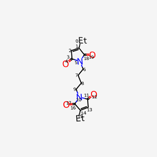 CCC1=CC(=O)N(CCCCN2C(=O)C=C(CC)C2=O)C1=O